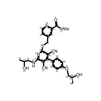 CNC(=O)c1cc(CSc2nc(NCC(C)O)c(C#N)c(-c3ccc(OC[C@H](C)O)cc3)c2C#N)ccn1